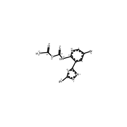 CC(C)c1nnc(-c2cc(Br)cnc2NC(=S)OC(N)=O)s1